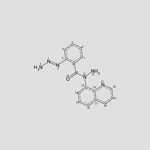 NN=Nc1ccccc1C(=O)N(N)c1cccc2cccnc12